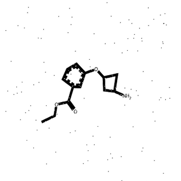 CCOC(=O)c1cccc(OC2CC(N)C2)c1